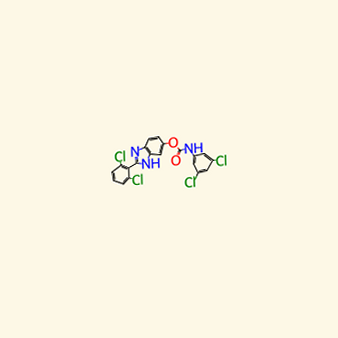 O=C(Nc1cc(Cl)cc(Cl)c1)Oc1ccc2nc(-c3c(Cl)cccc3Cl)[nH]c2c1